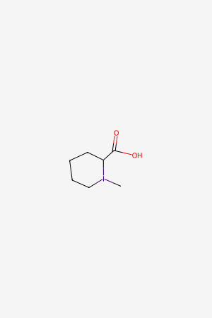 CI1CCCCC1C(=O)O